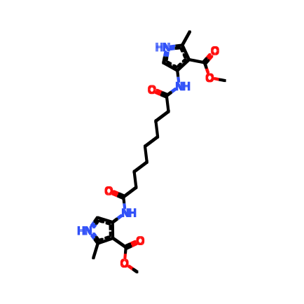 COC(=O)c1c(NC(=O)CCCCCCCC(=O)Nc2c[nH]c(C)c2C(=O)OC)c[nH]c1C